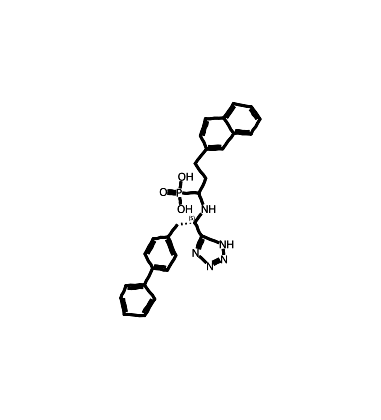 O=P(O)(O)C(CCc1ccc2ccccc2c1)N[C@@H](Cc1ccc(-c2ccccc2)cc1)c1nnn[nH]1